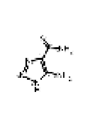 NC(=S)c1nn[nH]c1N